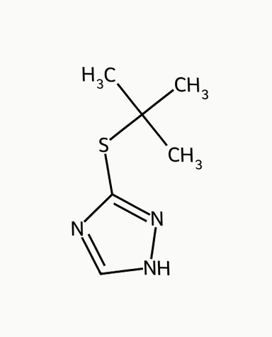 CC(C)(C)Sc1nc[nH]n1